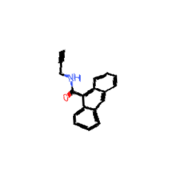 C#CCNC(=O)c1c2ccccc2cc2ccccc12